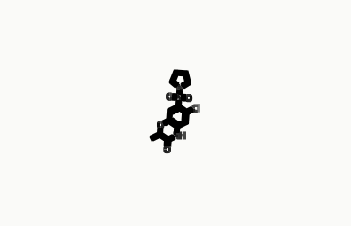 CC1Oc2cc(S(=O)(=O)N3CCCC3)c(Cl)cc2NC1=O